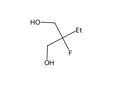 CCC(F)(CO)CO